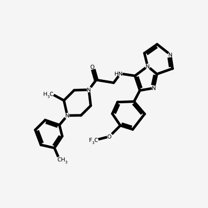 Cc1cccc(N2CCN(C(=O)CNc3c(-c4ccc(OC(F)(F)F)cc4)nc4cnccn34)CC2C)c1